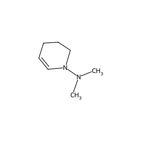 CN(C)N1C=CCCC1